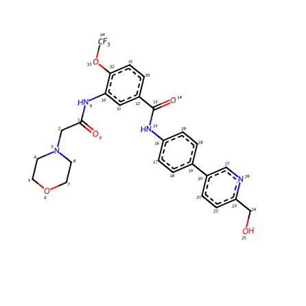 O=C(CN1CCOCC1)Nc1cc(C(=O)Nc2ccc(-c3ccc(CO)nc3)cc2)ccc1OC(F)(F)F